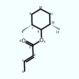 C/C=C/C(=O)OC1[C@H](C)CCC[C@@H]1C